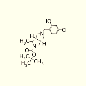 C[C@H]1[C@@H]2CN(Cc3ccc(Cl)cc3O)C[C@@H]2CN1C(=O)OC(C)(C)C